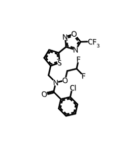 O=C(c1ccccc1Cl)N(Cc1ccc(-c2noc(C(F)(F)F)n2)s1)OCC(F)F